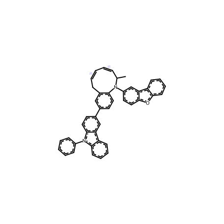 CC1/C=C\C=C/Cc2cc(-c3ccc4c(c3)c3ccccc3n4-c3ccccc3)ccc2N1c1ccc2oc3ccccc3c2c1